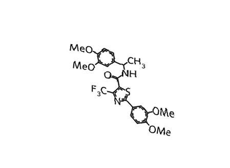 COc1ccc(-c2nc(C(F)(F)F)c(C(=O)NC(C)c3ccc(OC)c(OC)c3)s2)cc1OC